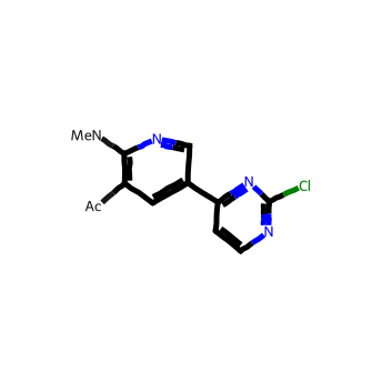 CNc1ncc(-c2ccnc(Cl)n2)cc1C(C)=O